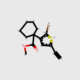 C#Cc1cc(C2(C(=O)OC)CCCCC2)c(Br)s1